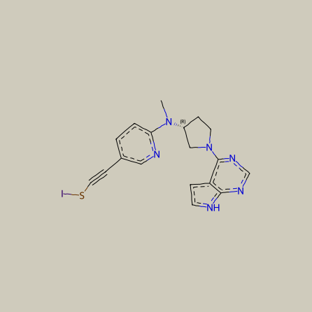 CN(c1ccc(C#CSI)cn1)[C@@H]1CCN(c2ncnc3[nH]ccc23)C1